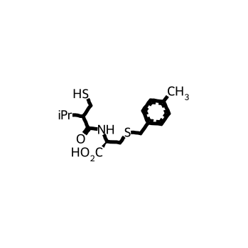 Cc1ccc(CSC[C@H](NC(=O)C(CS)C(C)C)C(=O)O)cc1